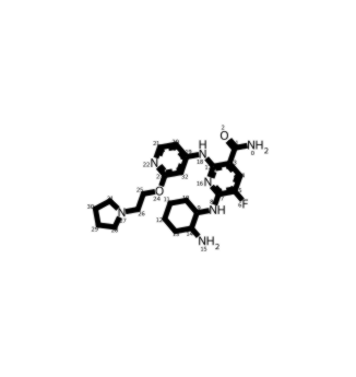 NC(=O)c1cc(F)c(NC2CCCCC2N)nc1Nc1ccnc(OCCN2CCCC2)c1